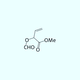 C=CC(O[C]=O)C(=O)OC